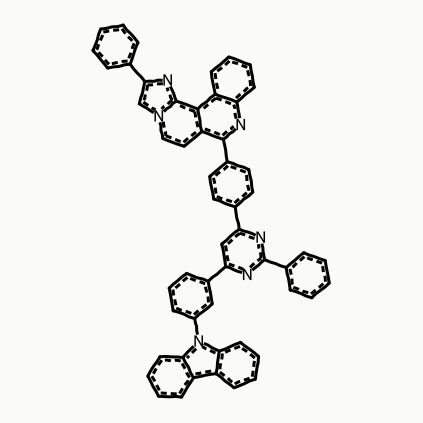 c1ccc(-c2cn3ccc4c(-c5ccc(-c6cc(-c7cccc(-n8c9ccccc9c9ccccc98)c7)nc(-c7ccccc7)n6)cc5)nc5ccccc5c4c3n2)cc1